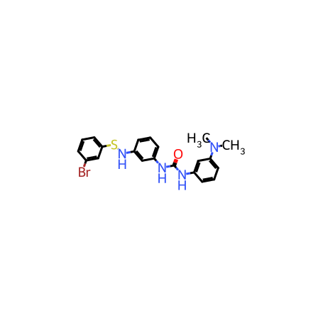 CN(C)c1cccc(NC(=O)Nc2cccc(NSc3cccc(Br)c3)c2)c1